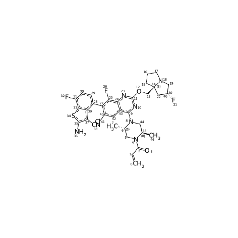 C=CC(=O)N1C[C@H](C)N(c2nc(OC[C@@]34CCCN3C[C@H](F)C4)nc3c(F)c(-c4ccc(F)c5sc(N)c(C#N)c45)c(Cl)cc23)C[C@H]1C